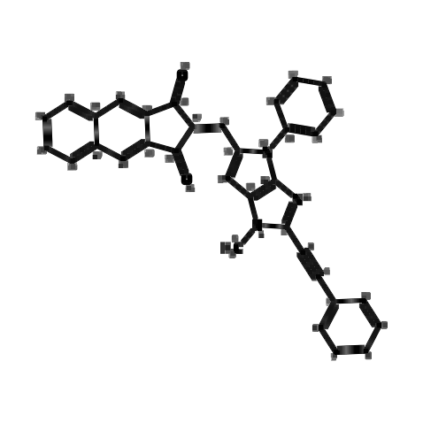 Cn1c(C#Cc2ccccc2)nc2c1cc(C=C1C(=O)c3cc4ccccc4cc3C1=O)n2-c1ccccc1